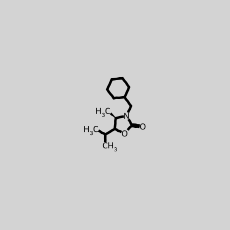 CC(C)C1OC(=O)N(CC2CCCCC2)[C@@H]1C